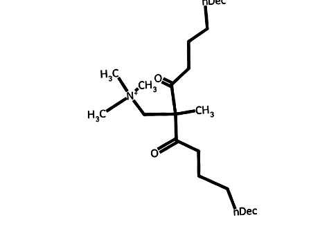 CCCCCCCCCCCCCC(=O)C(C)(C[N+](C)(C)C)C(=O)CCCCCCCCCCCCC